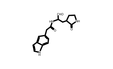 O=CC(CC1CCNC1=O)NC(=O)Cc1ccc2[nH]ccc2c1